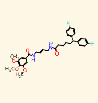 COc1cc(C(=O)NCC=CCNC(=O)CCCCC(c2ccc(F)cc2)c2ccc(F)cc2)cc(OC)c1OC